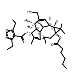 CCCCCC(=O)O[C@@]12CC(C)(C)[C@]34C=C(C)[C@H](OC(=O)c5c(CC)noc5CC)[C@@]3(O)[C@H](O)C(CO)=C[C@H](C4O)[C@@H]1C2(C)C